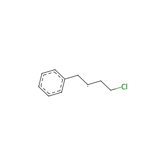 ClCC[CH]Cc1ccccc1